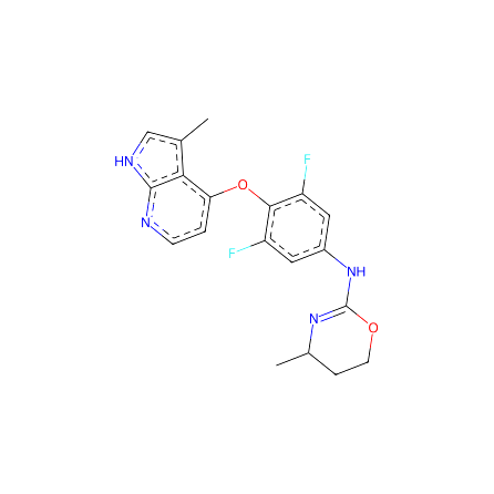 Cc1c[nH]c2nccc(Oc3c(F)cc(NC4=NC(C)CCO4)cc3F)c12